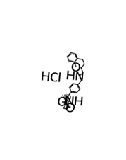 C[C@@H](NS(C)(=O)=O)c1ccc(CNCC2CCc3ccccc3O2)cc1.Cl